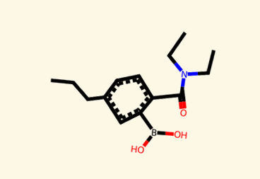 CCCc1ccc(C(=O)N(CC)CC)c(B(O)O)c1